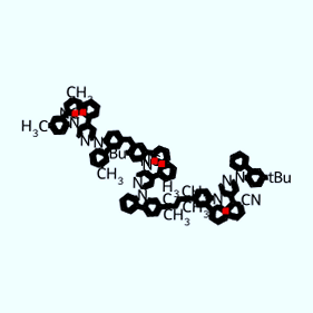 Cc1ccc2c(c1)c1cc(Cc3cc4c5ccccc5n(-c5cnc(-n6c7ccccc7c7ccc(C(C)(C)CCC(C)(C)c8ccc9c(c8)c8ccccc8n9-c8cnc(-n9c%10ccccc%10c%10cc(C(C)(C)C)ccc%109)cc8-c8ccccc8C#N)cc76)cc5-c5ccccc5C#N)c4cc3C(C)(C)C)ccc1n2-c1cc(-c2ccccc2C#N)c(-n2c3ccc(C)cc3c3cc(C)ccc32)cn1